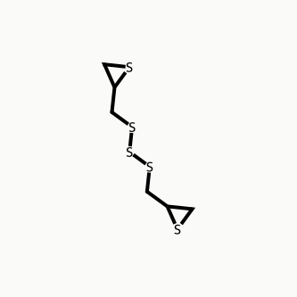 C(SSSCC1CS1)C1CS1